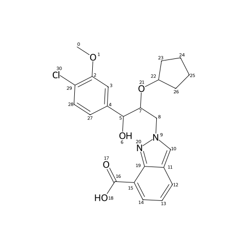 COc1cc(C(O)C(Cn2cc3cccc(C(=O)O)c3n2)OC2CCCC2)ccc1Cl